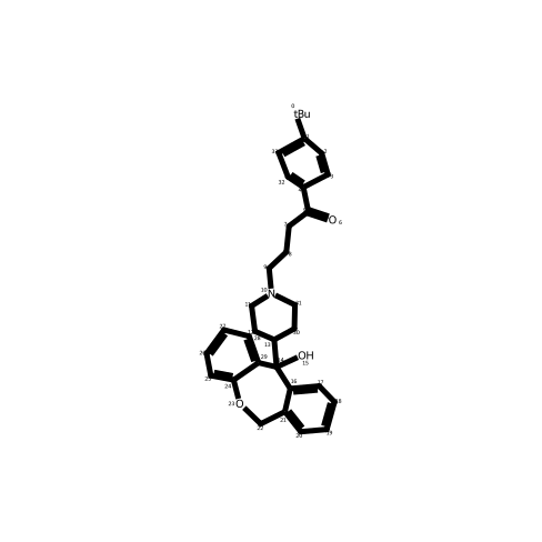 CC(C)(C)c1ccc(C(=O)CCCN2CCC(C3(O)c4ccccc4COc4ccccc43)CC2)cc1